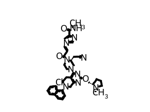 CNC(=O)c1cn(/C=C/C(=O)N2CCN(c3nc(OC[C@@H]4CCCN4C)nc4c3CCN(c3cccc5cccc(Cl)c35)C4)C[C@@H]2CC#N)cn1